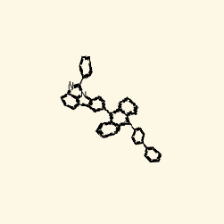 c1ccc(-c2ccc(-c3c4ccccc4c(-c4ccc5c(c4)c4cccc6nc(-c7ccccc7)n5c64)c4ccccc34)cc2)cc1